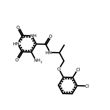 CC(COc1cccc(Cl)c1Cl)NC(=O)c1[nH]c(=O)[nH]c(=O)c1N